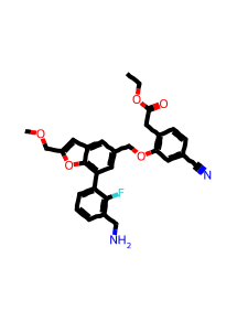 CCOC(=O)Cc1ccc(C#N)cc1OCc1cc(-c2cccc(CN)c2F)c2oc(COC)cc2c1